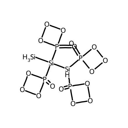 O=P1([SiH]([Si]([SiH3])(P2(=O)OOO2)P2(=O)OOO2)P2(=O)OOO2)OOO1